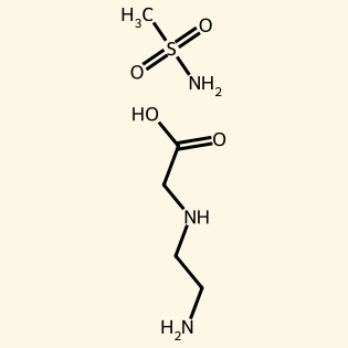 CS(N)(=O)=O.NCCNCC(=O)O